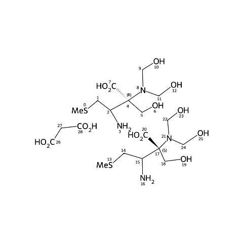 CSCC(N)[C@@](CO)(C(=O)O)N(CO)CO.CSCC(N)[C@](CO)(C(=O)O)N(CO)CO.O=C(O)CC(=O)O